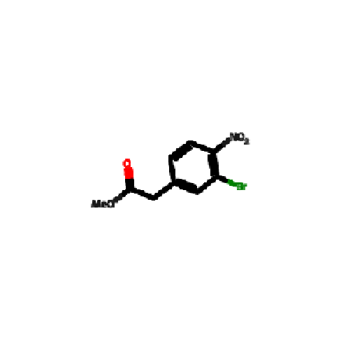 COC(=O)Cc1ccc([N+](=O)[O-])c(Br)c1